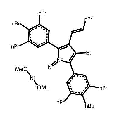 CCCC=CC1=C(c2cc(CCC)c(CCCC)c(CCC)c2)[N+](=[N-])C(c2cc(CCC)c(CCCC)c(CCC)c2)=C1CC.C[O][Ni][O]C